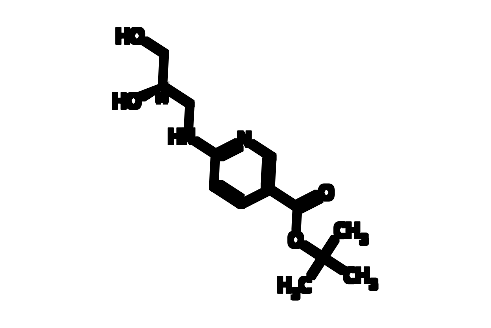 CC(C)(C)OC(=O)c1ccc(NC[C@@H](O)CO)nc1